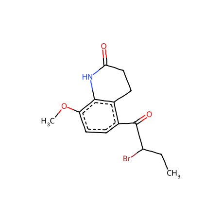 CCC(Br)C(=O)c1ccc(OC)c2c1CCC(=O)N2